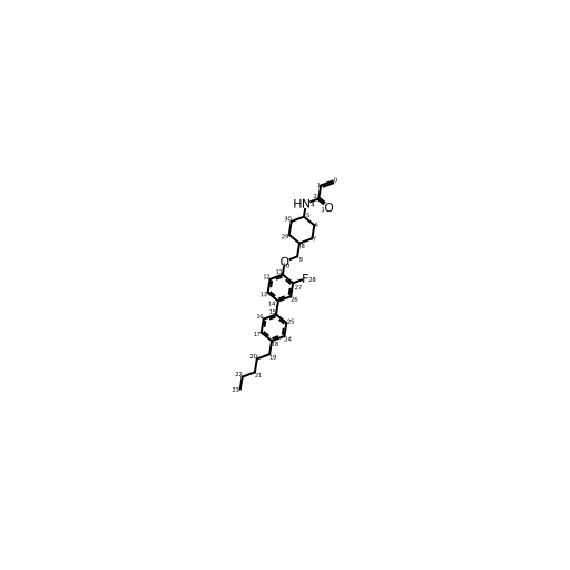 C=CC(=O)NC1CCC(COc2ccc(-c3ccc(CCCCC)cc3)cc2F)CC1